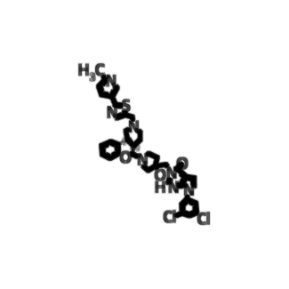 Cc1ccc(-c2ncc(CN3CC[C@@H](C(=O)N4CCC(O)(Cn5cnc6c(ccn6-c6cc(Cl)cc(Cl)c6)c5=O)CC4)[C@H](c4ccccc4)C3)s2)cn1